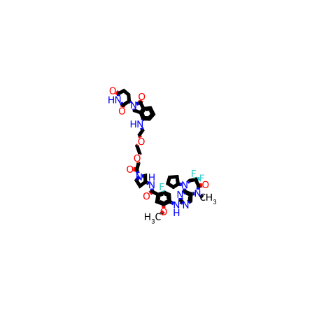 COc1cc(C(=O)NC2CCN(C(=O)COCCOCCNc3cccc4c3CN(C3CCC(=O)NC3=O)C4=O)C2)c(F)cc1Nc1ncc2c(n1)N(C1CCCC1)CC(F)(F)C(=O)N2C